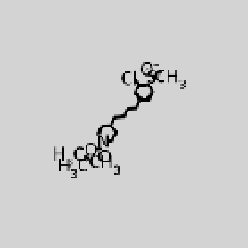 C[S+]([O-])c1ccc(CCCCC2CCN(C(=O)OC(C)(C)C)CC2)cc1Cl